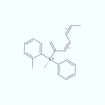 C=C(/C=C\C=C/C)[S@@](C)(c1ccccc1)c1ccccc1C